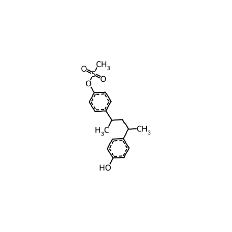 CC(CC(C)c1ccc(OS(C)(=O)=O)cc1)c1ccc(O)cc1